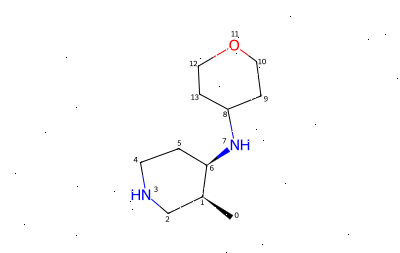 C[C@H]1CNCC[C@H]1NC1CCOCC1